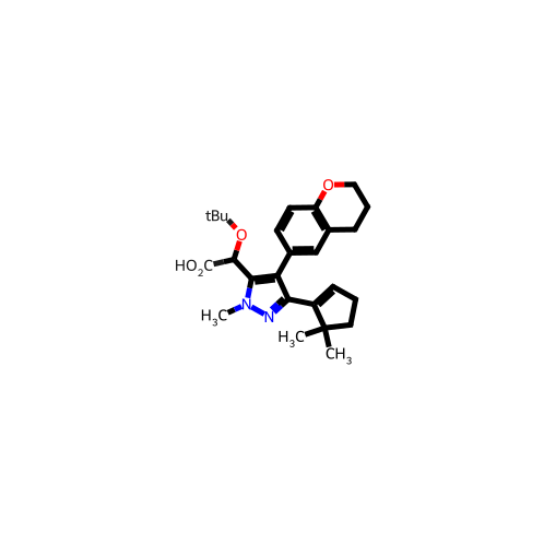 Cn1nc(C2=CCCC2(C)C)c(-c2ccc3c(c2)CCCO3)c1C(OC(C)(C)C)C(=O)O